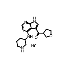 Cl.O=C(c1c[nH]c2ncnc(NC3CCCNC3)c12)C1CCOC1